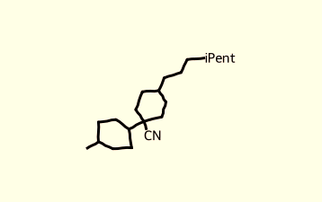 CCCC(C)CCCC1CCC(C#N)(C2CCC(C)CC2)CC1